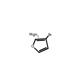 Brc1[c]occ1.[MgH2]